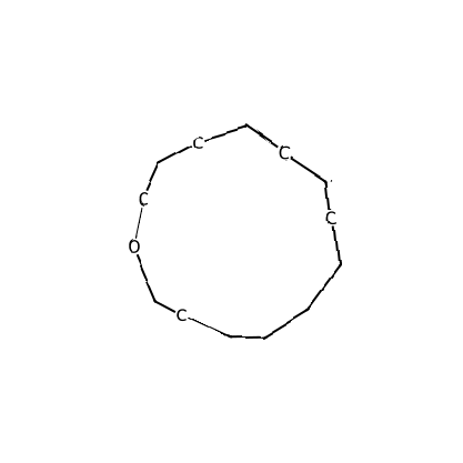 [CH]1CCCCCCCOCCCCC1